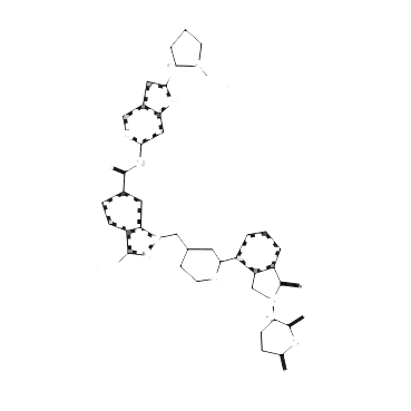 Cc1nn(CC2CCNC(c3cccc4c3CN([C@@H]3CCC(=O)NC3=O)C4=O)C2)c2cc(C(=O)Nc3cc4[nH]c([C@H]5CCCN5C)cc4cn3)ccc12